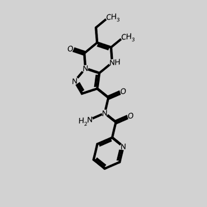 CCc1c(C)[nH]c2c(C(=O)N(N)C(=O)c3ccccn3)cnn2c1=O